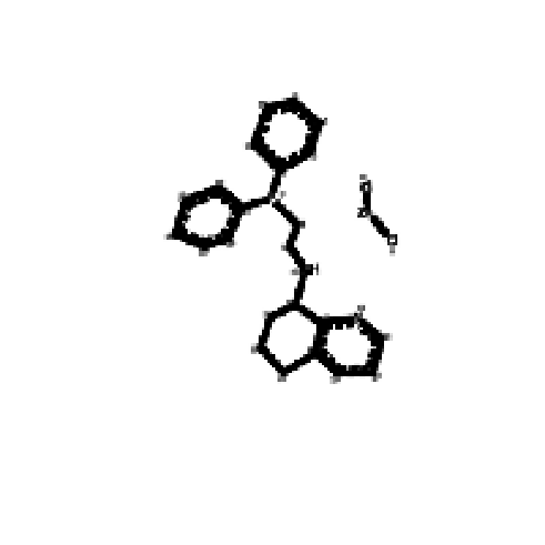 [Cl][Zn][Cl].c1ccc(P(CCNC2CCCc3cccnc32)c2ccccc2)cc1